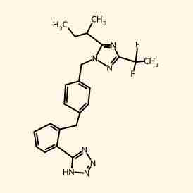 CCC(C)c1nc(C(C)(F)F)nn1Cc1ccc(Cc2ccccc2-c2nnn[nH]2)cc1